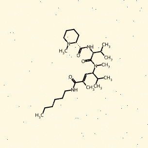 CCCCCCNC(=O)/C(C)=C/C(C(C)C)N(C)C(=O)[C@@H](NC(=O)[C@H]1CCCCN1C)C(C)C